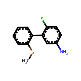 CSc1ccccc1-c1cc(N)ccc1F